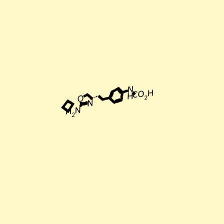 C1CCC1.NC1=N[C@@H](CCc2ccc(NC(=O)O)cc2)CO1